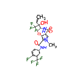 C=CC(O)(C1COc2c(cn(C)c2C(=O)Nc2ccc(F)c(C(F)(F)F)c2)S(=O)(=O)N1)C(F)(F)F